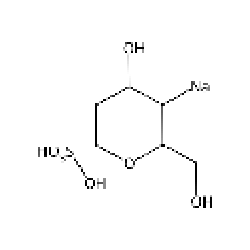 O=S(=O)(O)O.OCC1OCCC(O)[CH]1[Na]